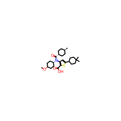 CO[C@H]1CC[C@H](N(c2cc(C3CCC(C)(C)CC3)sc2C(=O)O)C(=O)[C@H]2CC[C@H](C)CC2)CC1